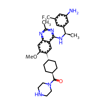 COc1cc2nc(C)nc(N[C@H](C)c3cc(N)cc(C(F)(F)F)c3)c2cc1[C@H]1CC[C@H](C(=O)N2CCNCC2)CC1